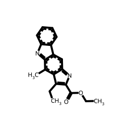 CCOC(=O)C1=C(CC)c2c(C)c3c(cc2=N1)-c1ccccc1N=3